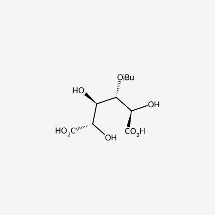 CC(C)CO[C@@H]([C@H](O)[C@H](O)C(=O)O)[C@@H](O)C(=O)O